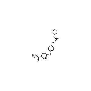 CN(CCc1ccc(Oc2ccc(C(N)=O)cn2)cc1)CC1CCCC1